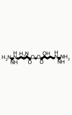 N=C(N)NCCCC(N)C(=O)OCOC(=O)C(O)CCCNC(=N)N